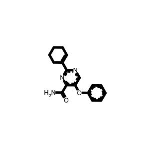 NC(=O)c1nc(C2=CCCCC2)ncc1Oc1ccccc1